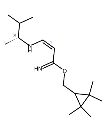 CC(C)[C@@H](C)N/C=C\C(=N)OCC1C(C)(C)C1(C)C